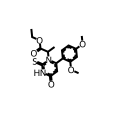 CCOC(=O)C(C)n1c(-c2ccc(OC)cc2OC)cc(=O)[nH]c1=S